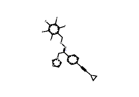 Fc1c(F)c(F)c(CO/N=C(\Cn2ccnc2)c2ccc(C#CC3CC3)cc2)c(F)c1F